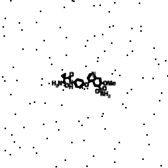 COc1cc2nccc(Oc3ccc(NC(=O)C4(C(N)=O)CC4)cc3)c2cc1S(N)(=O)=O